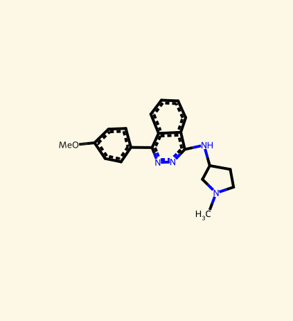 COc1ccc(-c2nnc(NC3CCN(C)C3)c3ccccc23)cc1